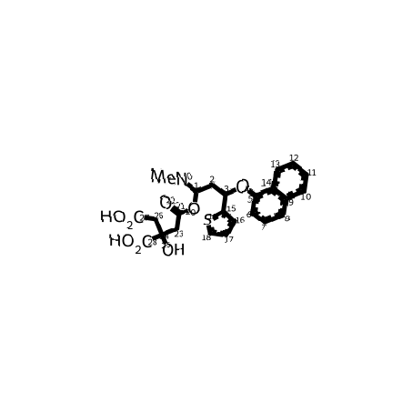 CNC(CC(Oc1cccc2ccccc12)c1cccs1)OC(=O)CC(O)(CC(=O)O)C(=O)O